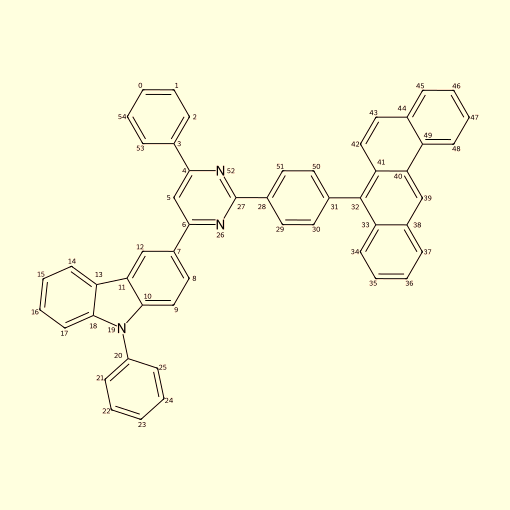 c1ccc(-c2cc(-c3ccc4c(c3)c3ccccc3n4-c3ccccc3)nc(-c3ccc(-c4c5ccccc5cc5c4ccc4ccccc45)cc3)n2)cc1